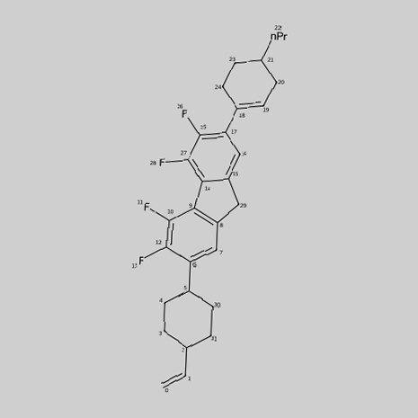 C=CC1CCC(c2cc3c(c(F)c2F)-c2c(cc(C4=CCC(CCC)CC4)c(F)c2F)C3)CC1